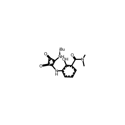 CC[C@H](C)Nc1c(Nc2cccc(C(=O)N(C)C)c2O)c(=O)c1=O